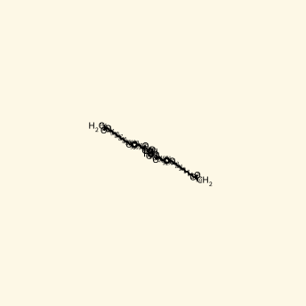 C=CC(=O)OCCCCCCCCCCOc1ccc(/C=C/C(=O)O[C@@H]2CO[C@H]3[C@@H]2OC[C@H]3OC(=O)/C=C/c2ccc(OCCCCCCCCCCOC(=O)C=C)cc2)cc1